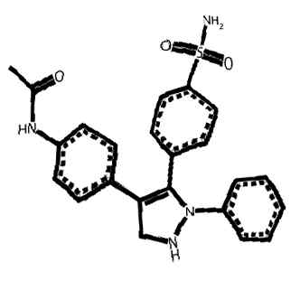 CC(=O)Nc1ccc(C2=C(c3ccc(S(N)(=O)=O)cc3)N(c3ccccc3)NC2)cc1